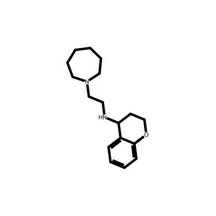 c1ccc2c(c1)OCCC2NCCN1CCCCCC1